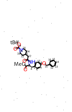 COC(=O)[C@H](Cc1ccc(OCc2ccccc2)cc1)NC(=O)CC1CCN(C(=O)OC(C)(C)C)CC1